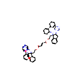 O=C(/C=C/C(=O)OCCC1(Nc2ccccc2-c2ccccc2)C(N2CCNC2)=Cc2ccccc21)OCCC1(Nc2ccccc2-c2ccccc2)C(N2CCNC2)=Cc2ccccc21